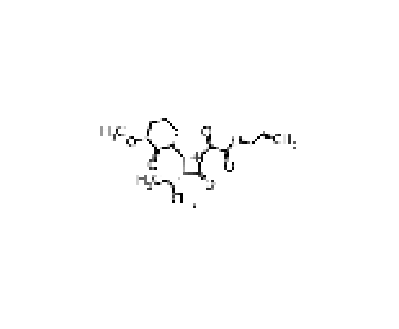 C=CCOC(=O)C(=O)N1C(=O)[C@H](C(C)C)[C@H]1[C@H]1CCC[C@H](OC)C1=O